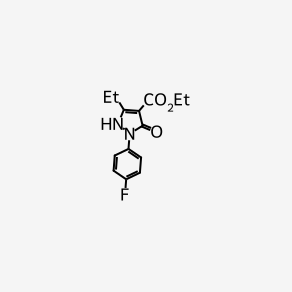 CCOC(=O)c1c(CC)[nH]n(-c2ccc(F)cc2)c1=O